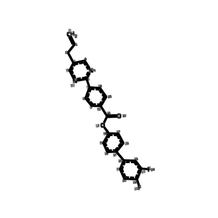 C=CCc1cnc(-c2ccc(C(=O)Oc3ccc(-c4ccc(F)c(F)c4)cc3)cc2)nc1